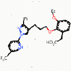 CCOc1cccc(CC(=O)O)c1OCCCc1cn(-c2ccc(C(F)(F)F)cn2)nc1C(C)C